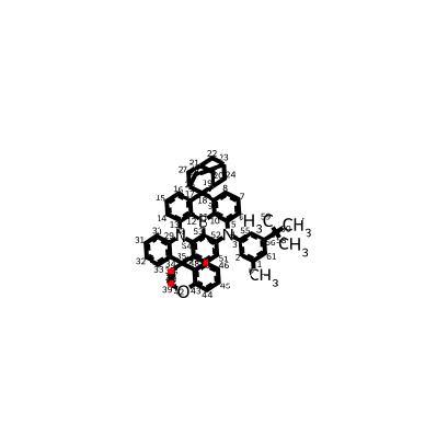 Cc1cc(N2c3cccc4c3B3c5c(cccc5C45C4CC6CC(C4)CC5C6)N4c5ccccc5C5(c6ccccc6Oc6ccccc65)c5ccc2c3c54)cc(C(C)(C)C)c1